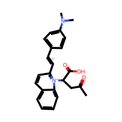 CC(=O)CC(C(=O)O)[n+]1c(/C=C/c2ccc(N(C)C)cc2)ccc2ccccc21